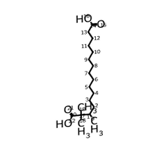 CC(CCCCCCCCCCCCC(=O)O)C(C)(C)C(=O)O